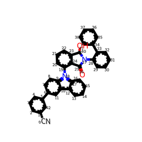 N#Cc1cccc(-c2ccc3c(c2)c2ccccc2n3-c2cccc3c2C(=O)N(c2ccccc2-c2ccccc2)C3O)c1